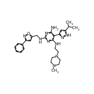 CC(C)c1cc(-c2c(N)nc(NCc3cc(-c4ccccc4)no3)nc2NCCN2CCN(C)CC2)n[nH]1